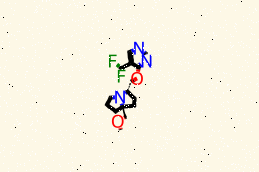 COC[C@@]12CCCN1[C@H](COc1ncncc1C(F)F)CC2